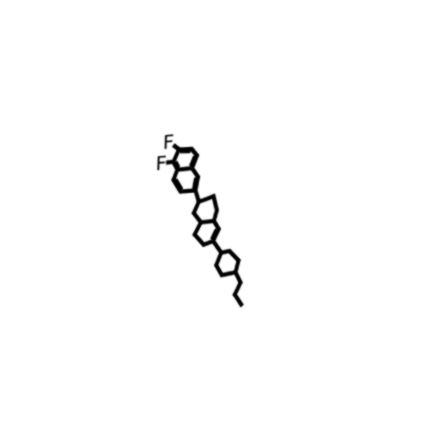 CCCC1CCC(C2=CC3CCC(c4ccc5c(F)c(F)ccc5c4)CC3CC2)CC1